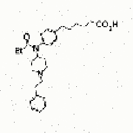 CCC(=O)N(c1ccc(CCCCCC(=O)O)cc1)C1CCN(CCc2ccccc2)CC1